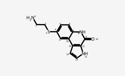 NCCSc1ccc2[nH]c(=O)c3[nH]ccc3c2c1